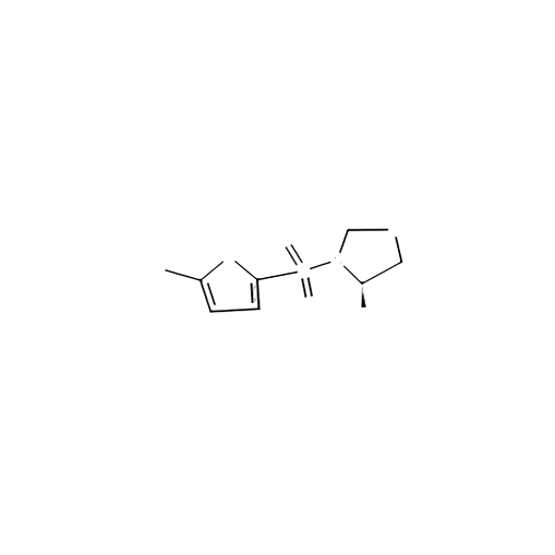 O=C(O)[C@@H]1CSCN1S(=O)(=O)c1ccc(Cl)s1